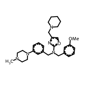 COc1cccc(CN(Cc2cccc(N3CCN(C)CC3)c2)c2nc(CN3CCCCC3)co2)c1